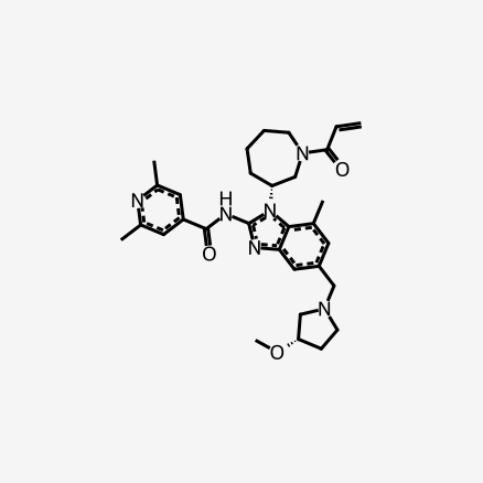 C=CC(=O)N1CCCC[C@@H](n2c(NC(=O)c3cc(C)nc(C)c3)nc3cc(CN4CC[C@H](OC)C4)cc(C)c32)C1